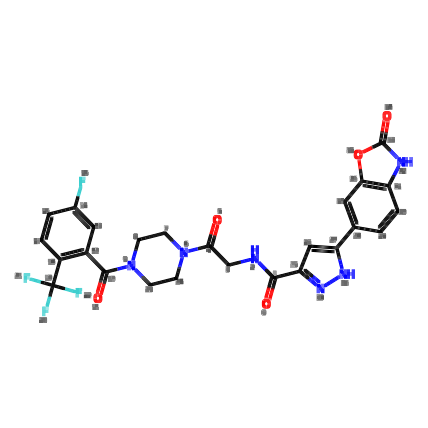 O=C(NCC(=O)N1CCN(C(=O)c2cc(F)ccc2C(F)(F)F)CC1)c1cc(-c2ccc3[nH]c(=O)oc3c2)[nH]n1